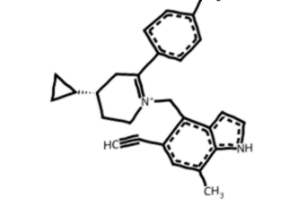 C#Cc1cc(C)c2[nH]ccc2c1C[N+]1=C(c2ccc(C(=O)O)cc2)C[C@@H](C2CC2)CC1